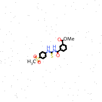 COC(=O)c1cccc(C(=O)NC(=S)Nc2ccc(S(C)(=O)=O)cc2)c1